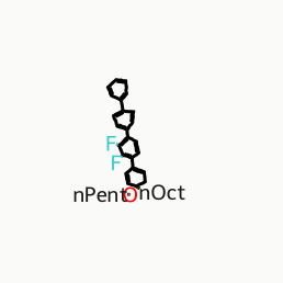 CCCCCCCCC1(OCCCCC)C=CC(c2ccc(-c3ccc(-c4ccccc4)cc3)c(F)c2F)=CC1